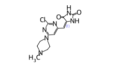 CN1CCN(c2cc(/C=C3/NC(=O)NC3=O)nc(Cl)n2)CC1